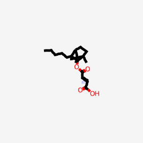 CCCCCC1C2CCC(C)(C1OC(=O)/C=C/C(=O)O)C2(C)C